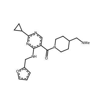 CNCC1CCN(C(=O)c2cnc(C3CC3)nc2NCc2ccco2)CC1